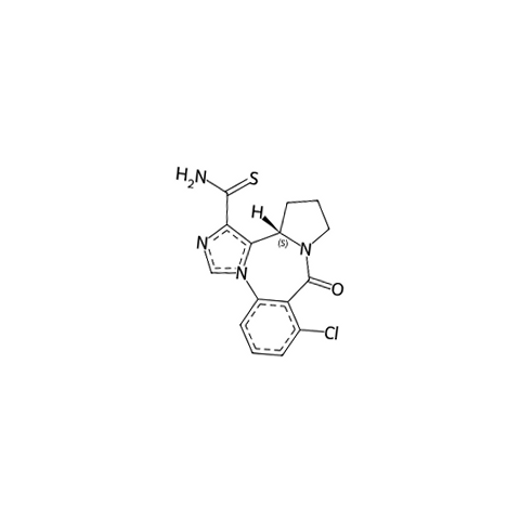 NC(=S)c1ncn2c1[C@@H]1CCCN1C(=O)c1c(Cl)cccc1-2